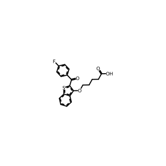 O=C(O)CCCCOc1c(C(=O)c2ccc(F)cc2)sc2ccccc12